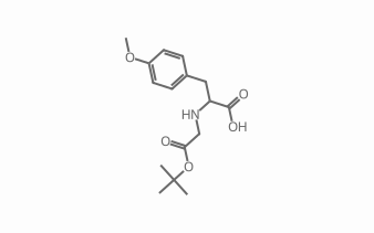 COc1ccc(CC(NCC(=O)OC(C)(C)C)C(=O)O)cc1